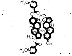 CN1C=CCC(C(=O)Oc2ccc3c(c2)CC[C@@H]2[C@@H]3CC[C@]3(C)[C@@H](OC(=O)C4=CN(C)C=CC4)CC[C@@H]23)=C1.C[C@]12CC[C@@H]3c4ccc(O)cc4CC[C@H]3[C@@H]1CC[C@@H]2O